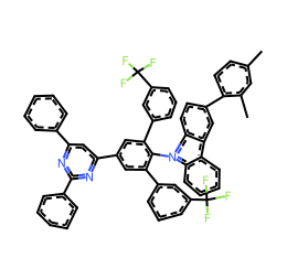 Cc1ccc(-c2ccc3c(c2)c2ccccc2n3-c2c(-c3cccc(C(F)(F)F)c3)cc(-c3cc(-c4ccccc4)nc(-c4ccccc4)n3)cc2-c2cccc(C(F)(F)F)c2)c(C)c1